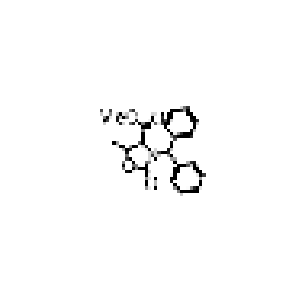 COC(=O)C1C(C)OC(=O)N1C(c1ccccc1)c1ccccc1